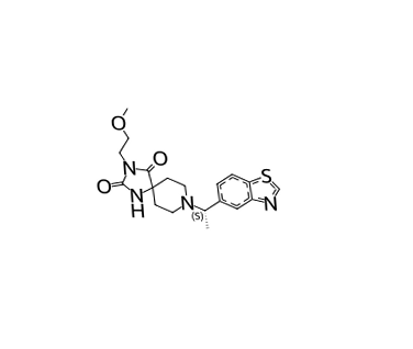 COCCN1C(=O)NC2(CCN([C@@H](C)c3ccc4scnc4c3)CC2)C1=O